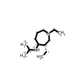 CC[C@H]1CN(CC)CCCC1NC(C)C